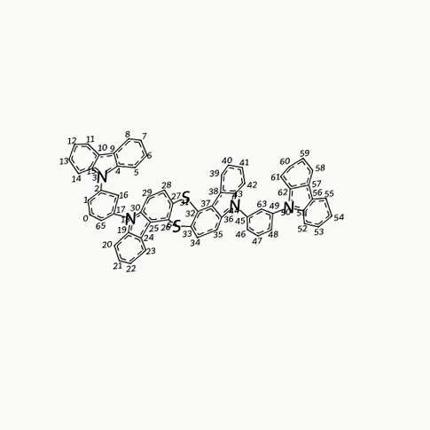 c1cc(-n2c3ccccc3c3ccccc32)cc(-n2c3ccccc3c3c4c(ccc32)Sc2c(ccc3c2c2ccccc2n3-c2cccc(-n3c5ccccc5c5ccccc53)c2)S4)c1